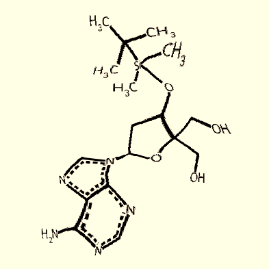 CC(C)(C)[Si](C)(C)OC1C[C@H](n2cnc3c(N)ncnc32)OC1(CO)CO